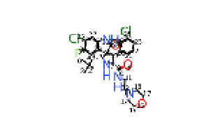 CC(C)(C)C[C@H]1N[C@@H](C(=O)NCCN2CCOCC2)[C@H](c2cccc(Cl)c2F)[C@@]12C(=O)Nc1cc(Cl)c(F)cc12